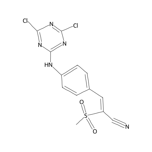 CS(=O)(=O)C(C#N)=Cc1ccc(Nc2nc(Cl)nc(Cl)n2)cc1